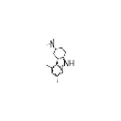 Cc1cc(C)c2c3c([nH]c2c1)CCC(N(C)C)C3